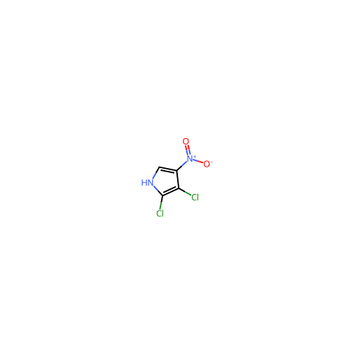 O=[N+]([O-])c1c[nH]c(Cl)c1Cl